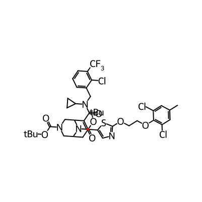 Cc1cc(Cl)c(OCCOc2ncc(C3=C(C(=O)N(Cc4cccc(C(F)(F)F)c4Cl)C4CC4)C4CN(C(=O)OC(C)(C)C)CC(C3)N4C(=O)OC(C)(C)C)s2)c(Cl)c1